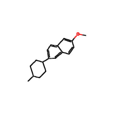 COc1ccc2cc(C3CCC(C)CC3)ccc2c1